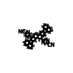 N#Cc1cnc(-c2cc3c4cc5c(c(-c6cnc(C#N)cn6)c4ccc3c3cc4c(cc23)-c2cccc3cccc-4c23)-c2cccc3cccc-5c23)cn1